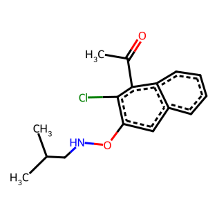 CC(=O)c1c(Cl)c(ONCC(C)C)cc2ccccc12